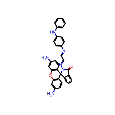 Nc1ccc2c(c1)Oc1cc(N)ccc1C21c2ccccc2C(=O)N1/N=C/C=N/c1ccc(Nc2ccccc2)cc1